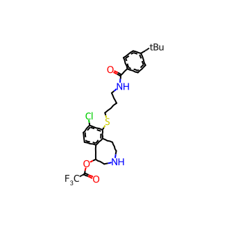 CC(C)(C)c1ccc(C(=O)NCCCSc2c(Cl)ccc3c2CCNCC3OC(=O)C(F)(F)F)cc1